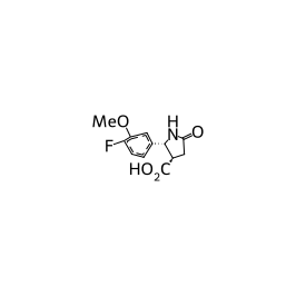 COc1cc([C@@H]2NC(=O)C[C@H]2C(=O)O)ccc1F